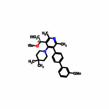 CCOC(=O)[C@@H](OC(C)(C)C)c1c(C)nc(C)c(-c2ccc(-c3cccc(OC)c3)cc2)c1N1CCC(C)(C)CC1